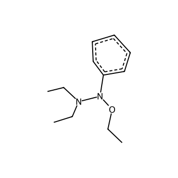 CCON(c1ccccc1)N(CC)CC